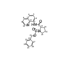 O=C(Nc1cccc2cccnc12)C1CCCN1C(=O)OCc1ccccc1